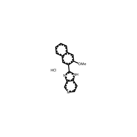 COc1cc2ccccc2cc1-c1nc2cnccc2[nH]1.Cl